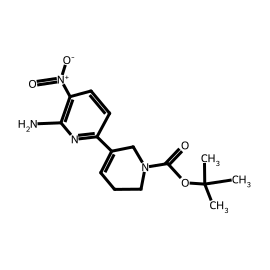 CC(C)(C)OC(=O)N1CCC=C(c2ccc([N+](=O)[O-])c(N)n2)C1